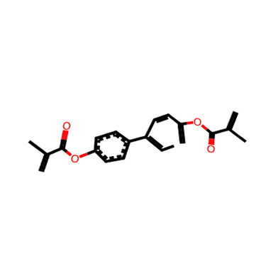 C=C(/C=C\C(=C/C)c1ccc(OC(=O)C(=C)C)cc1)OC(=O)C(=C)C